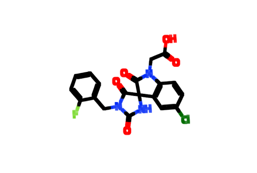 O=C(O)CN1C(=O)C2(NC(=O)N(Cc3ccccc3F)C2=O)c2cc(Cl)ccc21